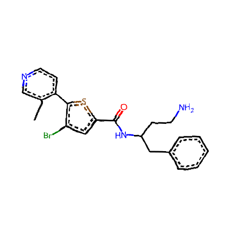 Cc1cnccc1-c1sc(C(=O)NC(CCN)Cc2ccccc2)cc1Br